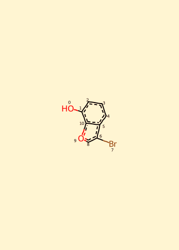 Oc1cccc2c(Br)coc12